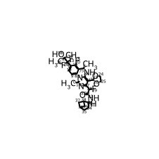 Cc1nc(NC(C)c2cccc(C(F)(F)C(C)(C)O)c2F)c(C2OCCO2)c(C(F)C(=O)N[C@@H]2CCC3CC2C3)n1